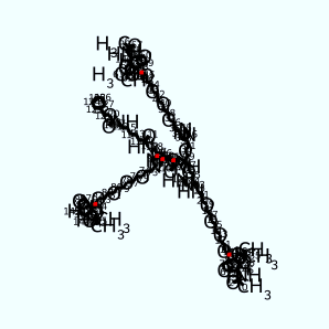 CC(=O)N[C@H]1[C@H]2OC[C@](COCCOCCOCCOCCN/C=C(/COCC(COCc3cn(CCOCCOCCOCCOC[C@@]45CO[C@@H](O4)[C@H](NC(C)=O)[C@H]4OC(C)(C)O[C@H]45)nn3)(COCc3cn(CCOCCOCCOCCOC[C@]45CO[C@H](C[C@H]6OC(C)(C)O[C@H]64)O5)nn3)NC(=O)CCCCCNC(=O)CCCCCNC(=O)OCc3ccccc3)N=N)(O2)[C@@H]2OC(C)(C)O[C@H]12